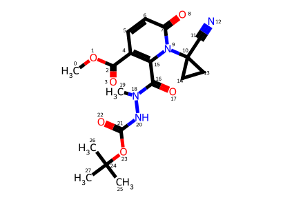 COC(=O)c1ccc(=O)n(C2(C#N)CC2)c1C(=O)N(C)NC(=O)OC(C)(C)C